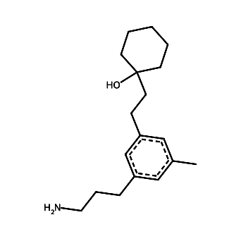 Cc1cc(CCCN)cc(CCC2(O)CCCCC2)c1